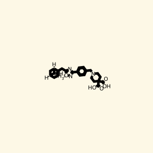 CC1(C)[C@H]2CC=C(Cc3nc(-c4ccc(CN5CCC(C(=O)O)(C(=O)O)CC5)cc4)no3)[C@@H]1C2